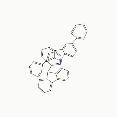 c1ccc(-c2ccc3c(c2)c2ccccc2n3-c2cccc3c2C2(c4ccccc4-c4ccccc42)c2ccccc2-3)cc1